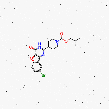 CC(C)COC(=O)N1CCC(c2nc3c(oc4ccc(Br)cc43)c(=O)[nH]2)CC1